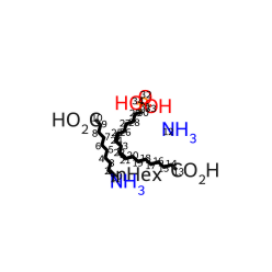 CCCCCC/C=C\CCCCCCCC(=O)O.N.N.O=C(O)CCCCCCC/C=C\C/C=C\CCCCCP(=O)(O)O